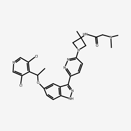 CC(Oc1ccc2[nH]nc(-c3ccc(N4CC(C)(NC(=O)CN(C)C)C4)nn3)c2c1)c1c(Cl)cncc1Cl